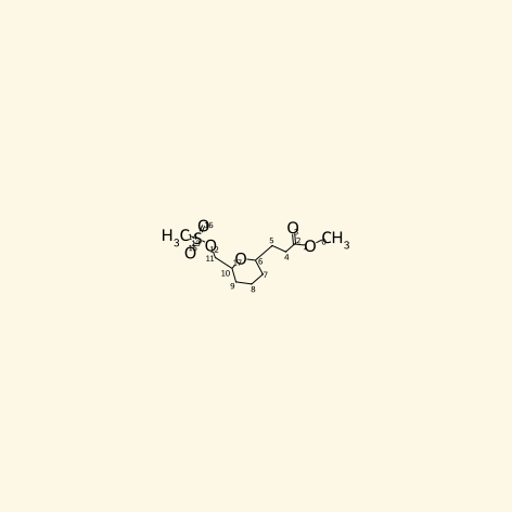 COC(=O)CCC1CCCC(COS(C)(=O)=O)O1